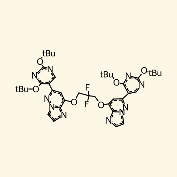 CC(C)(C)Oc1ncc(-c2cc(OCC(F)(F)COc3cc(-c4cnc(OC(C)(C)C)nc4OC(C)(C)C)nn4ccnc34)c3nccn3n2)c(OC(C)(C)C)n1